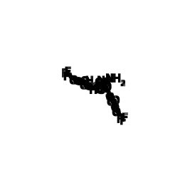 Nc1ccc(C(C(O)C(=O)/C=C/c2ccc(OC(=O)c3ccc(OCCCC(F)(F)F)cc3)cc2)C(O)C(=O)/C=C/c2ccc(OC(=O)c3ccc(OCCCC(F)(F)F)cc3)cc2)c(N)c1